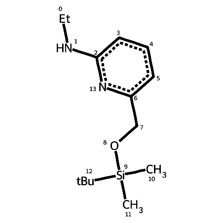 CCNc1cccc(CO[Si](C)(C)C(C)(C)C)n1